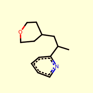 CC(CC1CCOCC1)c1ccccn1